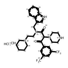 Cl.Cl.O=C(c1cc(C(F)(F)F)cc(C(F)(F)F)c1)C(C(=O)N(CCN1CCCCC1)Cc1c[nH]c2ccccc12)N1CCNCC1